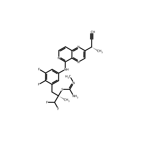 C#C[C@H](C)c1cnc2c(Nc3cc(F)c(F)c(C[C@@](C)(S/C(N)=N\C)C(F)F)c3)nccc2n1